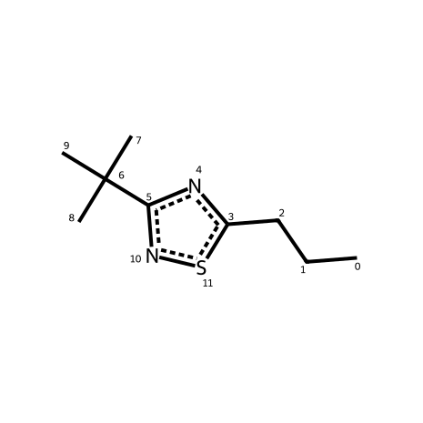 CCCc1nc(C(C)(C)C)ns1